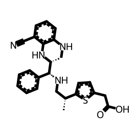 C[C@H](CN[C@H](c1ccccc1)[C@H]1CNc2cccc(C#N)c2N1)c1ccc(CC(=O)O)s1